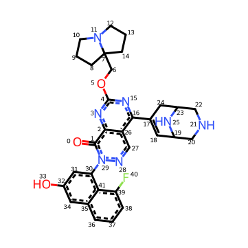 O=c1c2nc(OCC34CCCN3CCC4)nc(C3=CC4CNCC(C3)N4)c2cnn1-c1cc(O)cc2cccc(F)c12